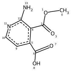 COC(=O)c1c(C(=O)O)ccnc1N